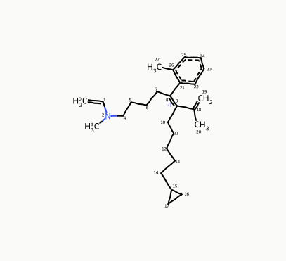 C=CN(C)CCCC/C(=C(\CCCCCC1CC1)C(=C)C)c1ccccc1C